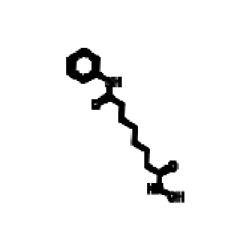 O=C(CCCCCCC(=O)Nc1cc#ccc1)NO